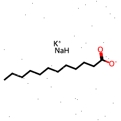 CCCCCCCCCCCC(=O)[O-].[K+].[NaH]